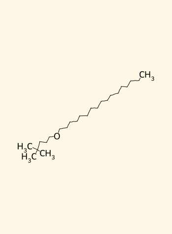 CCCCCCCCCCCCCCCCCOCCCC(C)(C)C